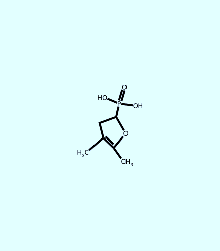 CC1=C(C)OC(P(=O)(O)O)C1